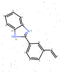 C=Cc1cccc(-c2nc3ccccc3[nH]2)c1